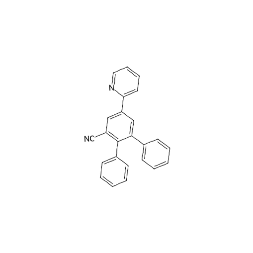 N#Cc1cc(-c2ccccn2)cc(-c2ccccc2)c1-c1ccccc1